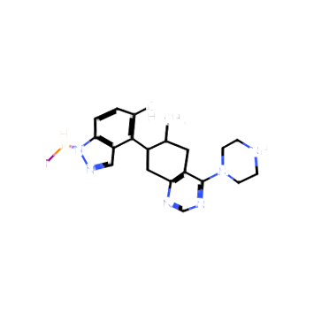 Cc1ccc2c(cnn2PI)c1C1Cc2ncnc(N3CCNCC3)c2CC1C